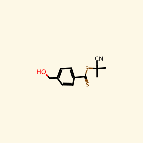 CC(C)(C#N)SC(=S)c1ccc(CO)cc1